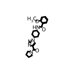 COc1ccccc1C(=O)N[C@H]1CC[C@@H](n2cc(C(=O)N3CCCC3)nn2)CC1